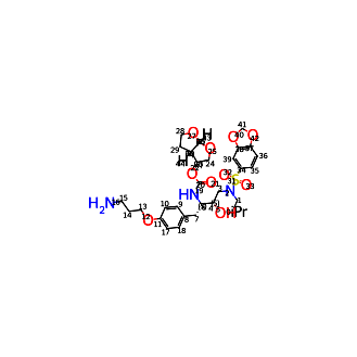 CC(C)CN(C[C@H](O)[C@H](Cc1ccc(OCCCN)cc1)NC(=O)O[C@H]1CO[C@H]2OCC[C@H]21)S(=O)(=O)c1ccc2c(c1)OCO2